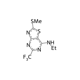 CCNc1nc(C(F)(F)F)nc2nc(SC)sc12